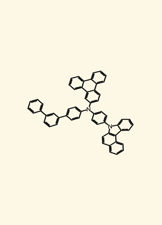 c1ccc(-c2cccc(-c3ccc(N(c4ccc(-n5c6ccccc6c6c7ccccc7ccc65)cc4)c4ccc5c6ccccc6c6ccccc6c5c4)cc3)c2)cc1